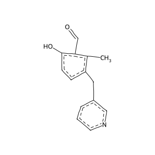 Cc1c(Cc2cccnc2)ccc(O)c1C=O